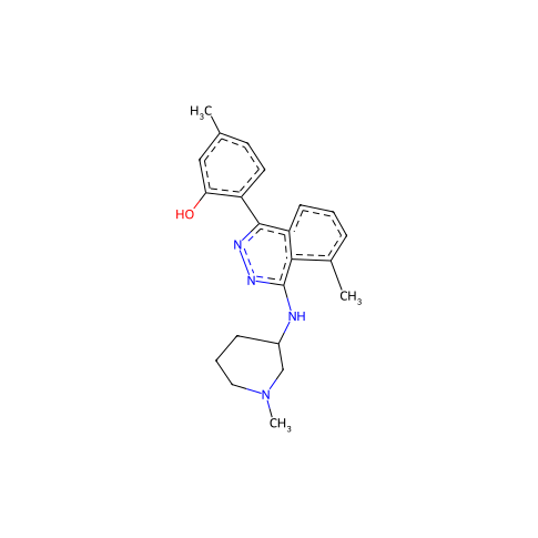 Cc1ccc(-c2nnc(NC3CCCN(C)C3)c3c(C)cccc23)c(O)c1